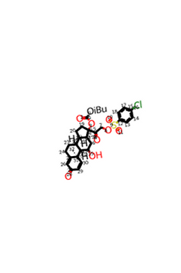 CC(C)COC(=O)O[C@]1(C(=O)COS(=O)(=O)c2ccc(Cl)cc2)CC[C@H]2[C@@H]3CCC4=CC(=O)C=C[C@]4(C)[C@H]3C(O)C[C@@]21C